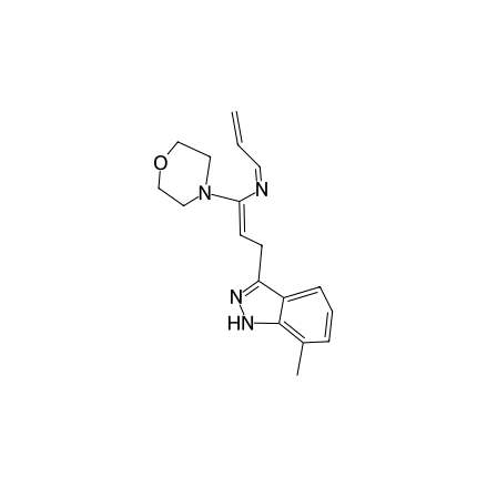 C=C/C=N\C(=C/Cc1n[nH]c2c(C)cccc12)N1CCOCC1